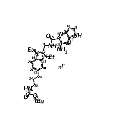 CCn1c(CNC(=O)c2nc3cc[nH]c3nc2N)[n+](CC)c2ccc(CCCNC(=O)OC(C)(C)C)cc21.[I-]